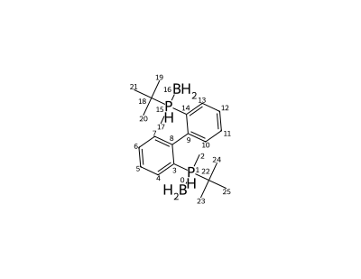 B[PH](C)(c1ccccc1-c1ccccc1[PH](B)(C)C(C)(C)C)C(C)(C)C